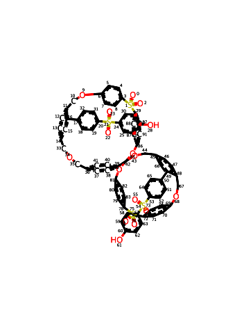 O=S1(=O)c2ccc(cc2)OCc2ccc(cc2-c2ccc(S(=O)(=O)c3ccc(O)cc3)cc2)COCc2ccc(cc2)C2(OCc3ccc(c(-c4ccc(S(=O)(=O)c5ccc(O)cc5)cc4)c3)COc3ccc(cc3)S(=O)(=O)c3ccc(cc3)O2)Oc2ccc1cc2